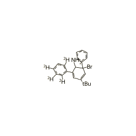 [2H]c1cc([2H])c(C2=CC(C(C)(C)C)=CC(Br)(c3ccccc3)C2N)c([2H])c1[2H]